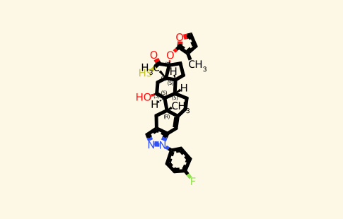 Cc1ccoc1O[C@]1(C(=O)S)CC[C@H]2[C@@H]3CCC4=Cc5c(cnn5-c5ccc(F)cc5)C[C@]4(C)[C@H]3[C@@H](O)C[C@@]21C